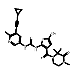 Cc1ncc(NC(=O)Nc2sc(C(C)(C)C)cc2C(=O)N2CCN(C)C(=O)C2(C)C)cc1C#CC1CC1